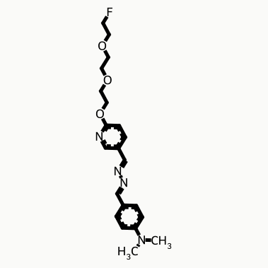 CN(C)c1ccc(/C=N/N=C/c2ccc(OCCOCCOCCF)nc2)cc1